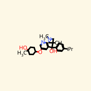 CC(C)c1ccc([C@](O)(c2cncc(OC3CCC(C)(O)CC3)c2)C2(C)CN(C)C2)cc1